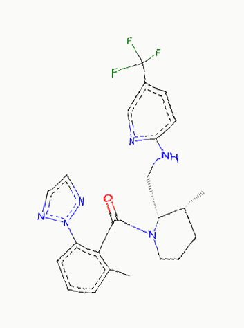 Cc1cccc(-n2nccn2)c1C(=O)N1CCC[C@@H](C)[C@H]1CNc1ccc(C(F)(F)F)cn1